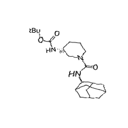 CC(C)(C)OC(=O)N[C@@H]1CCCN(C(=O)NC2C3CC4CC(C3)CC2C4)C1